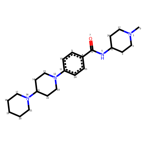 CN1CCC(NC(=O)c2ccc(N3CCC(N4CCCCC4)CC3)cc2)CC1